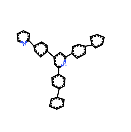 c1ccc(-c2ccc(-c3cc(-c4ccc(-c5ccccn5)cc4)cc(-c4ccc(-c5ccccc5)cc4)n3)cc2)cc1